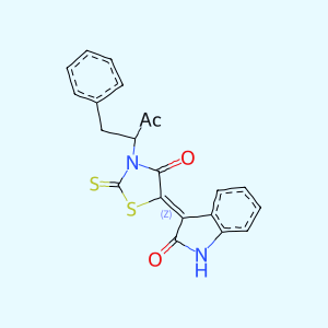 CC(=O)C(Cc1ccccc1)N1C(=O)/C(=C2/C(=O)Nc3ccccc32)SC1=S